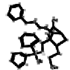 COCOC1CC2C(O)OC1(CO[Si](c1ccccc1)(c1ccccc1)C(C)(C)C)C2OCOCc1ccccc1